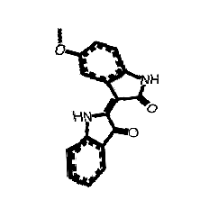 COc1ccc2c(c1)C(=C1Nc3ccccc3C1=O)C(=O)N2